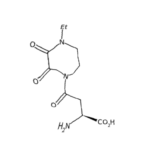 CCN1CCN(C(=O)C[C@H](N)C(=O)O)C(=O)C1=O